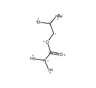 CCCCC(CC)COC(=O)N(S)S